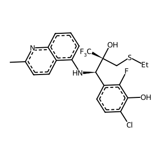 CCSC[C@@](O)([C@H](Nc1cccc2nc(C)ccc12)c1ccc(Cl)c(O)c1F)C(F)(F)F